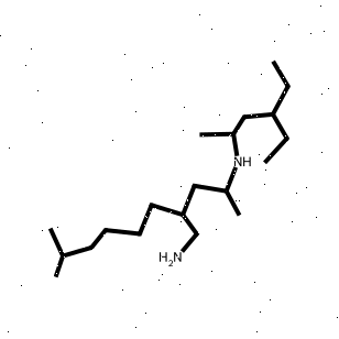 CCC(CC)CC(C)NC(C)CC(CN)CCCCC(C)C